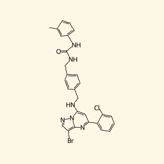 Cc1cccc(NC(=O)NCc2ccc(CNc3cc(-c4ccccc4Cl)nc4c(Br)cnn34)cc2)c1